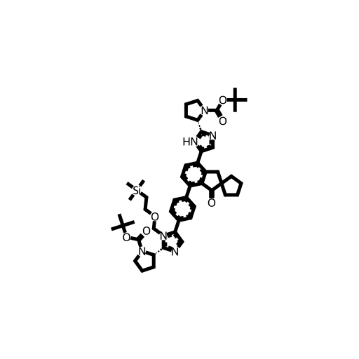 CC(C)(C)OC(=O)N1CCC[C@H]1c1ncc(-c2ccc(-c3ccc(-c4cnc([C@@H]5CCCN5C(=O)OC(C)(C)C)n4COCC[Si](C)(C)C)cc3)c3c2CC2(CCCC2)C3=O)[nH]1